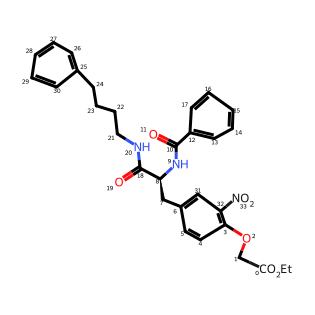 CCOC(=O)COc1ccc(C[C@H](NC(=O)c2ccccc2)C(=O)NCCCCc2ccccc2)cc1[N+](=O)[O-]